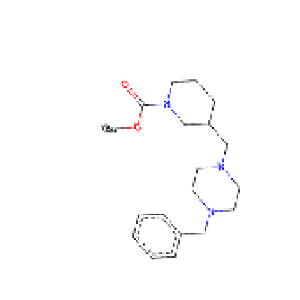 CC(C)(C)OC(=O)N1CCCC(CN2CCN(Cc3ccccc3)CC2)C1